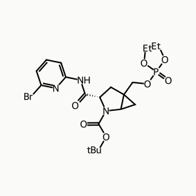 CCOP(=O)(OCC)OCC12CC1N(C(=O)OC(C)(C)C)[C@H](C(=O)Nc1cccc(Br)n1)C2